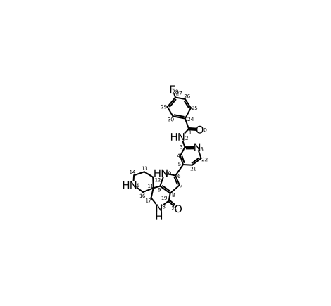 O=C(Nc1cc(-c2cc3c([nH]2)C2(CCCNC2)CNC3=O)ccn1)c1ccc(F)cc1